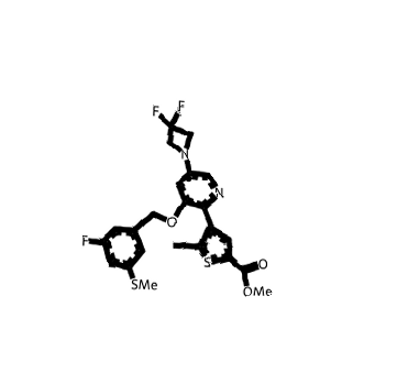 COC(=O)c1cc(-c2ncc(N3CC(F)(F)C3)cc2OCc2cc(F)cc(SC)c2)c(C)s1